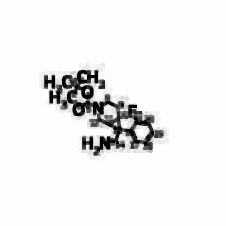 CC(C)(C)OC(=O)N1CCC2C(C1)C2(CN)c1ccccc1F